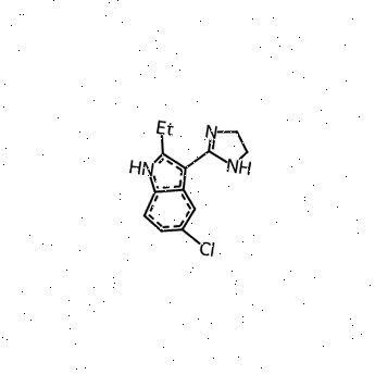 CCc1[nH]c2ccc(Cl)cc2c1C1=NCCN1